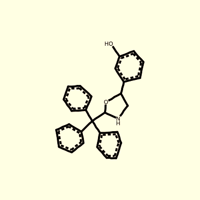 Oc1cccc(C2CNC(C(c3ccccc3)(c3ccccc3)c3ccccc3)O2)c1